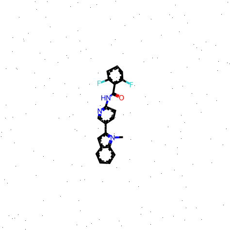 Cn1c(-c2ccc(NC(=O)c3c(F)cccc3F)nc2)cc2ccccc21